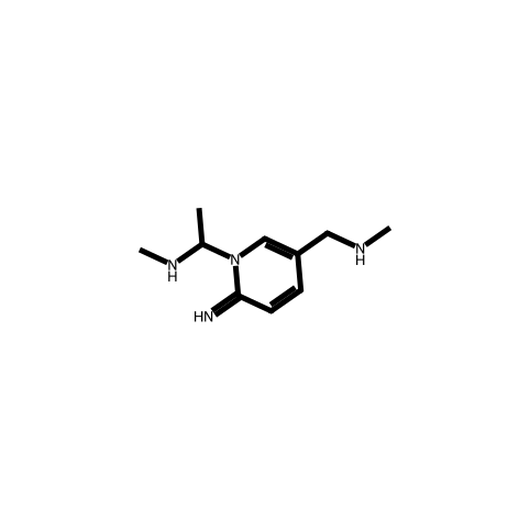 CNCc1ccc(=N)n(C(C)NC)c1